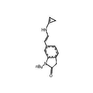 CCCCN1C(=O)Cc2ccc(C=CNC3=CC3)cc21